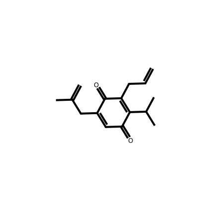 C=CCC1=C(C(C)C)C(=O)C=C(CC(=C)C)C1=O